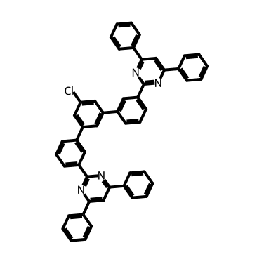 Clc1cc(-c2cccc(-c3nc(-c4ccccc4)cc(-c4ccccc4)n3)c2)cc(-c2cccc(-c3nc(-c4ccccc4)cc(-c4ccccc4)n3)c2)c1